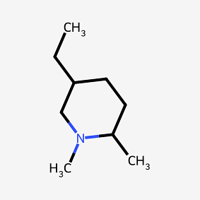 CCC1CCC(C)N(C)C1